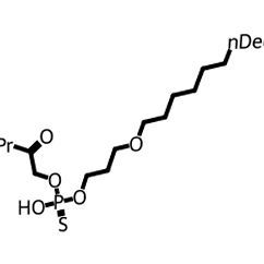 CCCCCCCCCCCCCCCCOCCCOP(O)(=S)OCC(=O)C(C)C